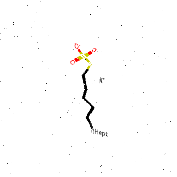 CCCCCCCCCCCCSS(=O)(=O)[O-].[K+]